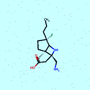 CCC[C@]1(F)CC[C@H]2C1N[C@]2(CN)CC(=O)O